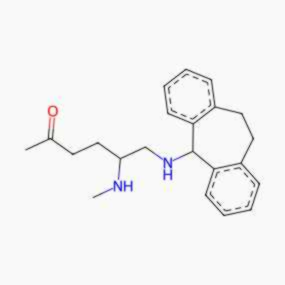 CNC(CCC(C)=O)CNC1c2ccccc2CCc2ccccc21